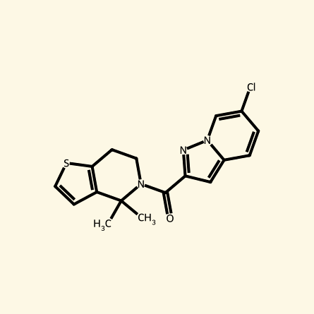 CC1(C)c2ccsc2CCN1C(=O)c1cc2ccc(Cl)cn2n1